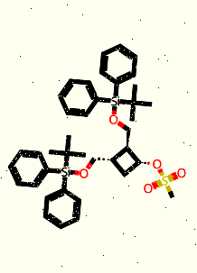 CC(C)(C)[Si](OC[C@H]1C[C@@H](OS(C)(=O)=O)[C@@H]1CO[Si](c1ccccc1)(c1ccccc1)C(C)(C)C)(c1ccccc1)c1ccccc1